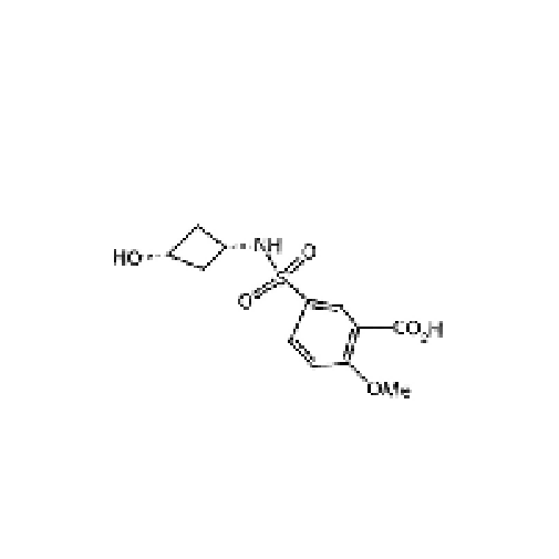 COc1ccc(S(=O)(=O)N[C@H]2C[C@@H](O)C2)cc1C(=O)O